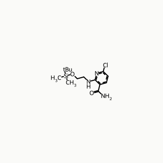 CC(C)(C)[Si](C)(C)OCCNc1nc(Cl)ccc1C(N)=O